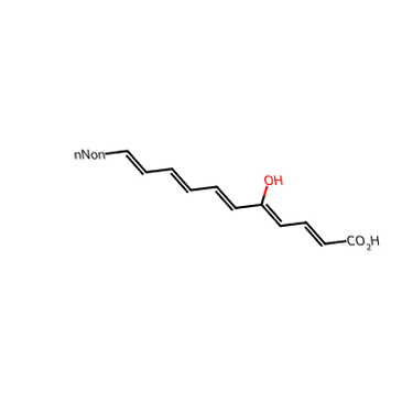 CCCCCCCCCC=CC=CC=CC(O)=CC=CC(=O)O